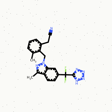 Cc1cccc(CC#N)c1Cn1nc(C)c2ccc(C(F)(F)c3nnn[nH]3)cc21